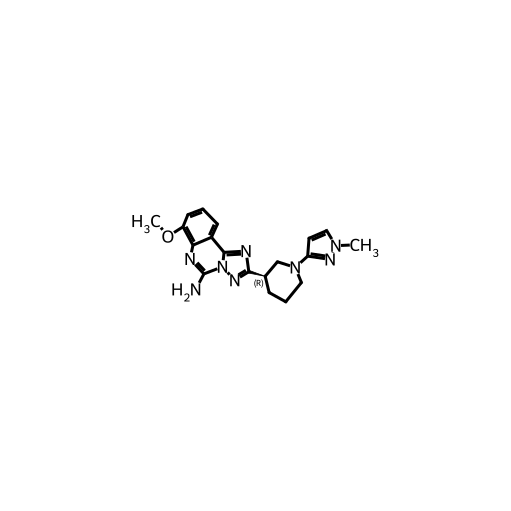 COc1cccc2c1nc(N)n1nc([C@@H]3CCCN(c4ccn(C)n4)C3)nc21